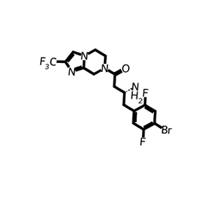 N[C@@H](CC(=O)N1CCn2cc(C(F)(F)F)nc2C1)Cc1cc(F)c(Br)cc1F